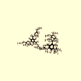 CC(=O)N(CC(O)CO)c1c(I)c(C(=O)NCC(O)CO)c(I)c(C(=O)NCC(O)CO)c1I.CC(=O)Nc1c(I)c(C(=O)N[C@H]2C(O)O[C@H](CO)[C@@H](O)[C@@H]2O)c(I)c(N(C)C(C)=O)c1I